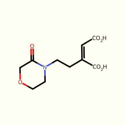 O=C(O)C=C(CCN1CCOCC1=O)C(=O)O